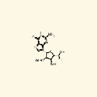 [2H]C(O)[C@H]1O[C@@H](n2cnc3c(=O)[nH]c(N)nc32)[C@H](OC)[C@@H]1O